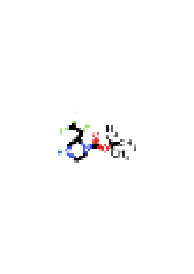 CC(C)(C)OC(=O)N1CCNCC1C(F)C(F)F